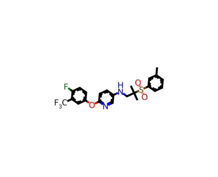 Cc1cccc(S(=O)(=O)C(C)(C)CNc2ccc(Oc3ccc(F)c(C(F)(F)F)c3)nc2)c1